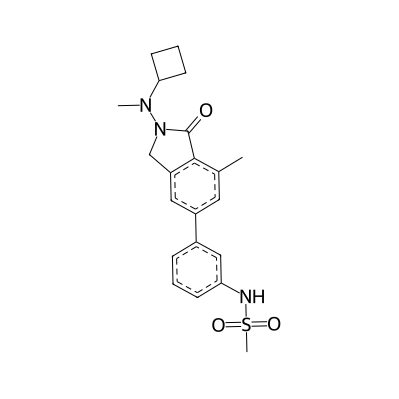 Cc1cc(-c2cccc(NS(C)(=O)=O)c2)cc2c1C(=O)N(N(C)C1CCC1)C2